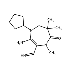 CN1C(=O)C(C)(C)CN(C2CCCC2)C(N)=C1C=N